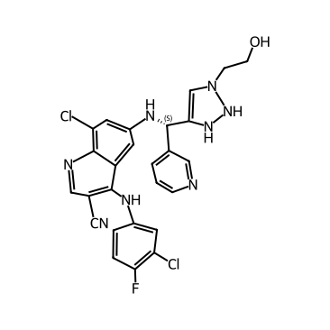 N#Cc1cnc2c(Cl)cc(N[C@H](C3=CN(CCO)NN3)c3cccnc3)cc2c1Nc1ccc(F)c(Cl)c1